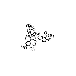 CS(=O)(=O)N1CCN(C(=O)NC(C(=O)NC2Cc3ccc(F)c(C(=O)O)c3OB2O)c2c(F)cc(O)c(O)c2Cl)C1=O